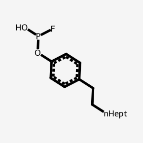 CCCCCCCCCc1ccc(OP(O)F)cc1